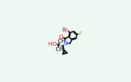 CC(C)(O)[C@@H](C1CC1)N1Cc2cc(F)cc(Br)c2C1=O